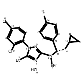 CCCN(c1nc(CC)n(-c2ccc(Cl)cc2Cl)n1)[C@@H](CC1CC1)c1ccc(F)cc1.Cl